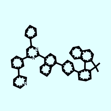 CC1(C)c2cccc(-c3ccc(-c4ccc(-c5nc(-c6ccccc6)cc(-c6cccc(-c7cccnc7)c6)n5)c5ccccc45)cc3)c2-c2c1ccc1ccccc21